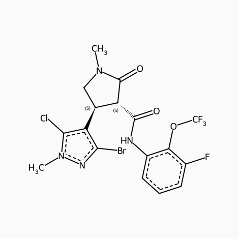 CN1C[C@H](c2c(Br)nn(C)c2Cl)[C@@H](C(=O)Nc2cccc(F)c2OC(F)(F)F)C1=O